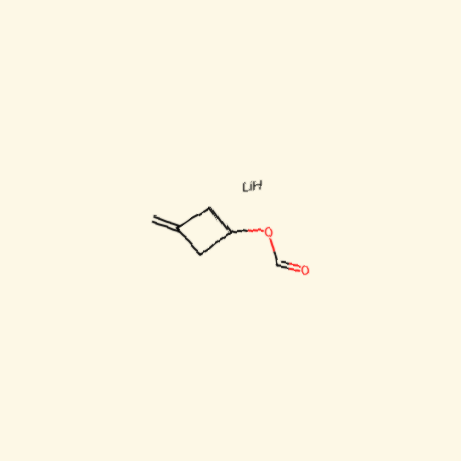 C=C1CC(OC=O)C1.[LiH]